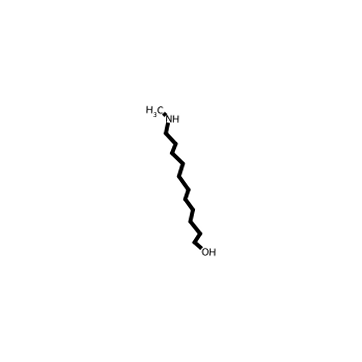 CNCCCCCCCCCCCO